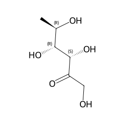 C[C@@H](O)[C@@H](O)[C@H](O)C(=O)CO